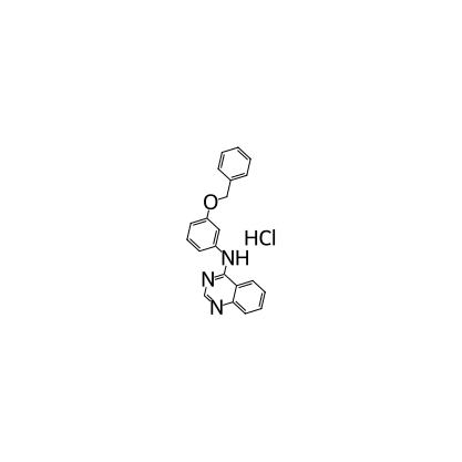 Cl.c1ccc(COc2cccc(Nc3ncnc4ccccc34)c2)cc1